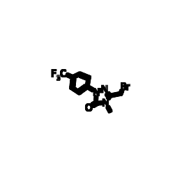 Cn1c(CBr)nn(-c2ccc(C(F)(F)F)cc2)c1=O